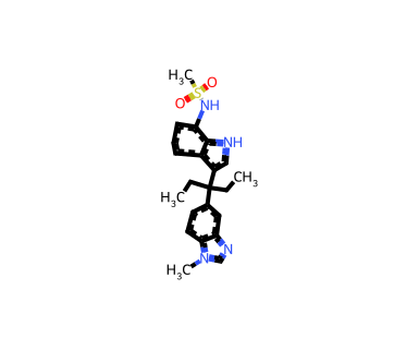 CCC(CC)(c1ccc2c(c1)ncn2C)c1c[nH]c2c(NS(C)(=O)=O)cccc12